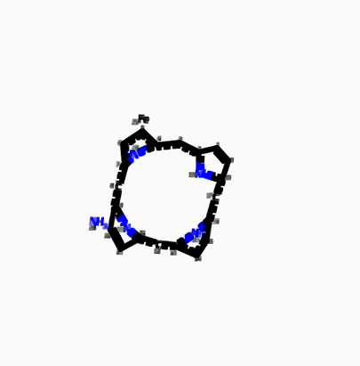 C1=Cc2cc3ccc(cc4nc(cc5ccc(cc1n2)[nH]5)C=C4)[nH]3.N.[Fe]